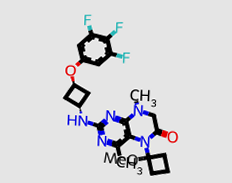 COC1(N2C(=O)CN(C)c3nc(N[C@H]4C[C@H](Oc5cc(F)c(F)c(F)c5)C4)nc(C)c32)CCC1